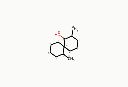 CC1CCCC2(CCCCC2C)C1O